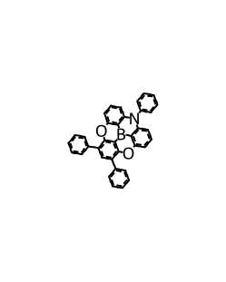 c1ccc(-c2cc(-c3ccccc3)c3c4c2Oc2cccc5c2B4c2c(cccc2N5c2ccccc2)O3)cc1